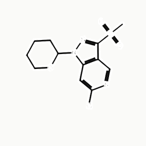 CS(=O)(=O)c1nn(C2CCCCO2)c2cc(Cl)ncc12